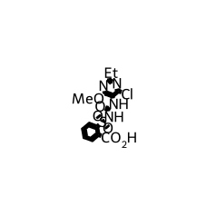 CCc1nc(Cl)c(NC(=O)NS(=O)(=O)c2ccccc2C(=O)O)c(OC)n1